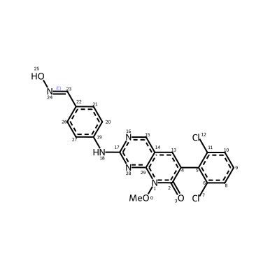 COn1c(=O)c(-c2c(Cl)cccc2Cl)cc2cnc(Nc3ccc(/C=N/O)cc3)nc21